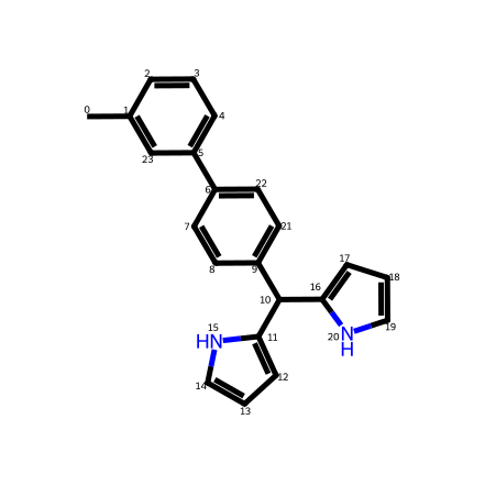 Cc1cccc(-c2ccc(C(c3ccc[nH]3)c3ccc[nH]3)cc2)c1